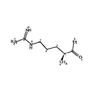 CCC(=O)[C@@H](C)CCCNC(=N)N